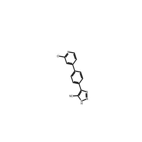 N#Cc1[nH]nnc1-c1ccc(-c2ccnc(Cl)c2)cc1